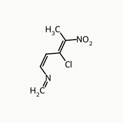 C=N/C=C\C(Cl)=C(/C)[N+](=O)[O-]